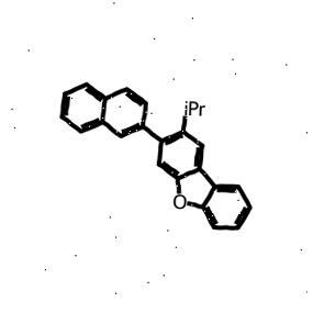 CC(C)c1cc2c(cc1-c1ccc3ccccc3c1)oc1ccccc12